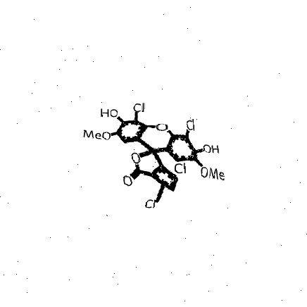 COc1cc2c(c(Cl)c1O)Oc1c(cc(OC)c(O)c1Cl)C21OC(=O)c2c(Cl)ccc(Cl)c21